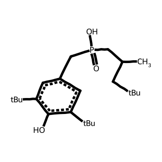 CC(CC(C)(C)C)CP(=O)(O)Cc1cc(C(C)(C)C)c(O)c(C(C)(C)C)c1